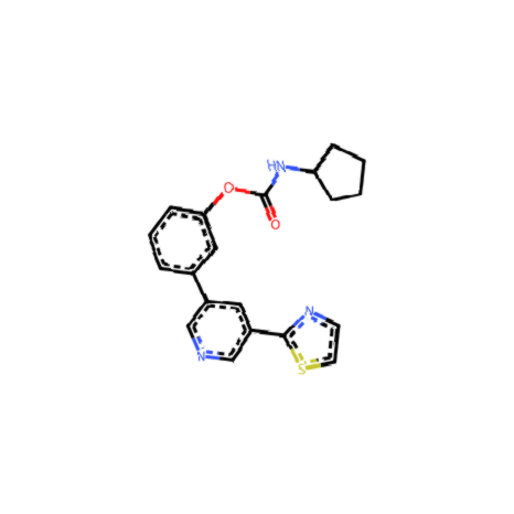 O=C(NC1CCCC1)Oc1cccc(-c2cncc(-c3nccs3)c2)c1